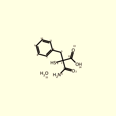 NC(=O)C(S)(Cc1ccccc1)C(=O)O.O